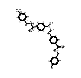 CCN(/N=N/c1ccc(C(=N)NCc2ccc(Cl)cc2)cc1)c1ccc(C(=N)NCc2ccc(Cl)cc2)cc1